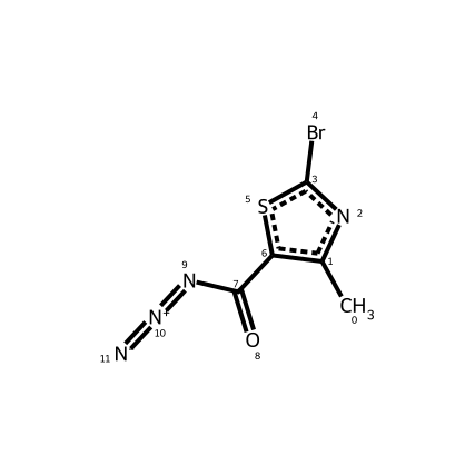 Cc1nc(Br)sc1C(=O)N=[N+]=[N-]